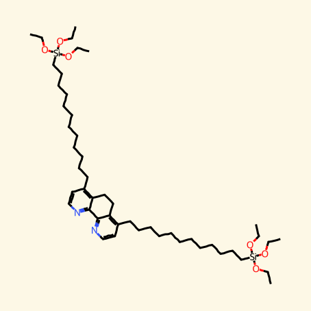 CCO[Si](CCCCCCCCCCCCc1ccnc2c1CCc1c(CCCCCCCCCCCC[Si](OCC)(OCC)OCC)ccnc1-2)(OCC)OCC